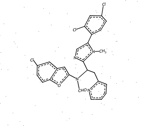 Cn1c(-c2ccc(Cl)cc2Cl)cnc1C(Cc1ccccn1)N(C=O)c1cc2cc(Cl)ccc2o1